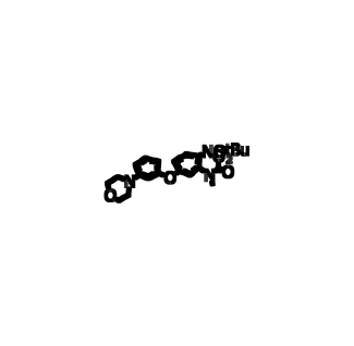 CN(C(=O)OC(C)(C)C)c1cc(Oc2cccc(N3CCOCC3)c2)ccc1[N+](=O)[O-]